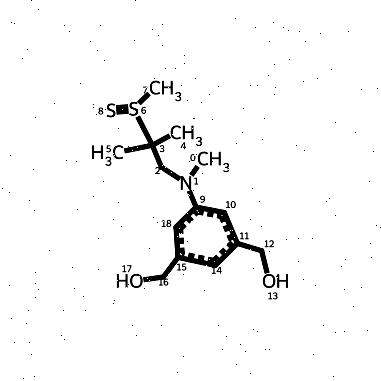 CN(CC(C)(C)S(C)=S)c1cc(CO)cc(CO)c1